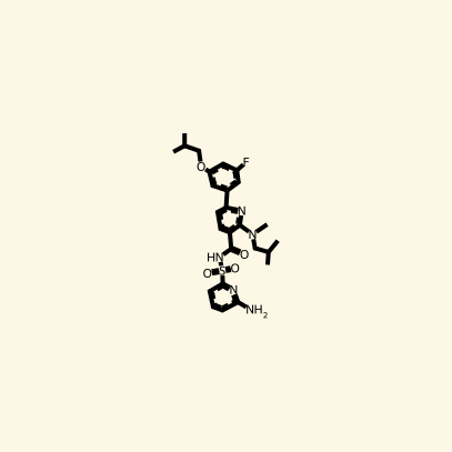 CC(C)COc1cc(F)cc(-c2ccc(C(=O)NS(=O)(=O)c3cccc(N)n3)c(N(C)CC(C)C)n2)c1